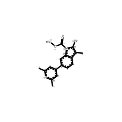 Cc1cc(-c2ccc3c(C)c(Br)n(C(=O)OC(C)(C)C)c3c2)cc(C)n1